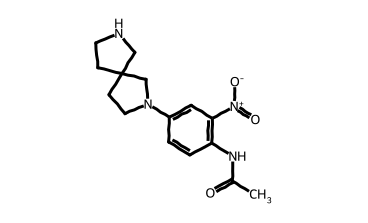 CC(=O)Nc1ccc(N2CCC3(CCNC3)C2)cc1[N+](=O)[O-]